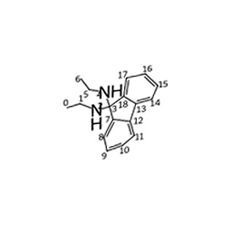 CCNC1(NCC)c2ccccc2-c2ccccc21